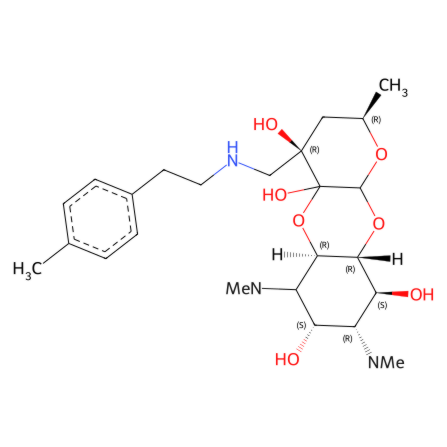 CNC1[C@@H](O)[C@@H](NC)[C@H](O)[C@H]2OC3O[C@H](C)C[C@@](O)(CNCCc4ccc(C)cc4)C3(O)O[C@H]12